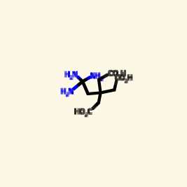 NC(N)(N)CC(CC(=O)O)(CC(=O)O)CC(=O)O